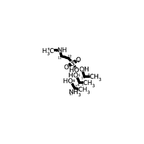 CCO.CCO.CCO.CNCCS(=O)(=O)O.N